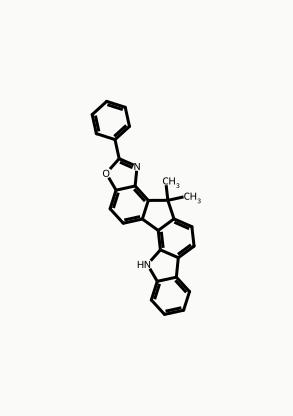 CC1(C)c2ccc3c([nH]c4ccccc43)c2-c2ccc3oc(-c4ccccc4)nc3c21